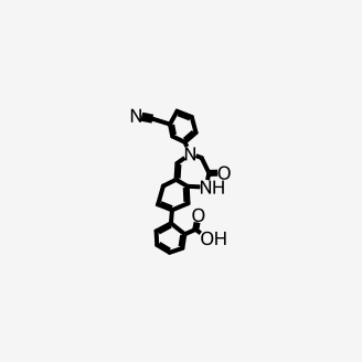 N#Cc1cccc(N2C=C3CC=C(c4ccccc4C(=O)O)C=C3NC(=O)C2)c1